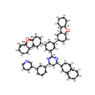 c1cncc(-c2cccc(-c3cc(-c4ccc5ccccc5c4)nc(-c4cc(-c5ccc6oc7ccccc7c6c5)cc(-c5ccc6oc7ccccc7c6c5)c4)n3)c2)c1